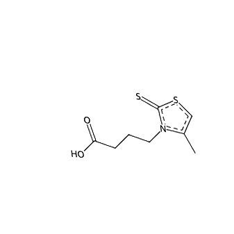 Cc1csc(=S)n1CCCC(=O)O